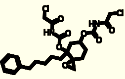 O=C(CCl)NC(=O)OC1CCC2(CO2)C(CCCCCc2ccccc2)(OC(=O)NC(=O)CCl)C1